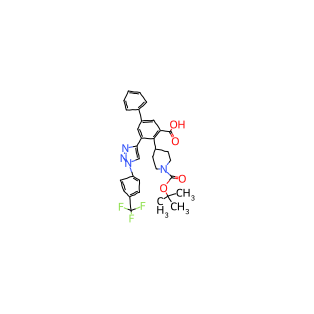 CC(C)(C)OC(=O)N1CCC(c2c(C(=O)O)cc(-c3ccccc3)cc2-c2cn(-c3ccc(C(F)(F)F)cc3)nn2)CC1